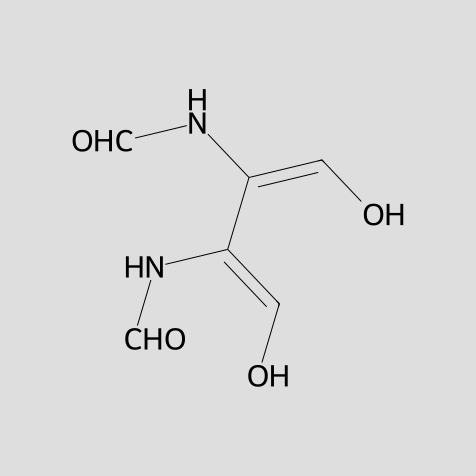 O=CNC(=CO)C(=CO)NC=O